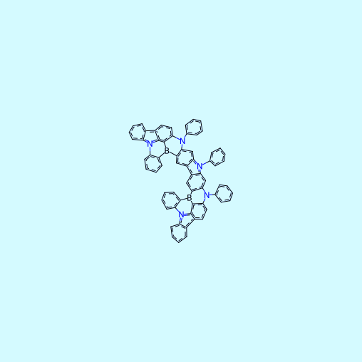 c1ccc(N2c3cc4c(cc3B3c5ccccc5-n5c6ccccc6c6ccc2c3c65)c2cc3c(cc2n4-c2ccccc2)N(c2ccccc2)c2ccc4c5ccccc5n5c4c2B3c2ccccc2-5)cc1